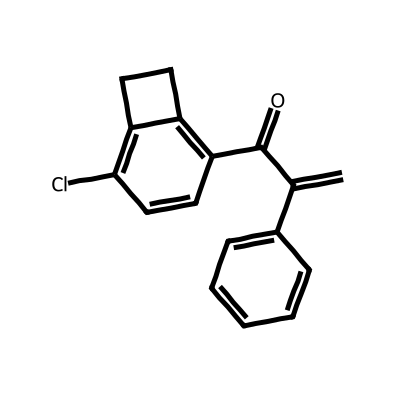 C=C(C(=O)c1ccc(Cl)c2c1CC2)c1ccccc1